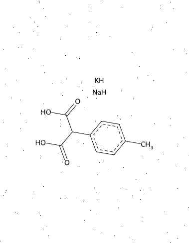 Cc1ccc(C(C(=O)O)C(=O)O)cc1.[KH].[NaH]